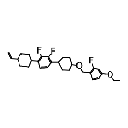 C=CC1CCC(c2ccc(C3CCC(OCc4ccc(OCC)cc4F)CC3)c(F)c2F)CC1